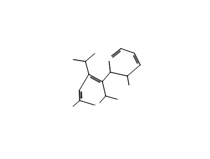 CC(I)C1=C(C2N=CC=CC2C)C(F)NC(F)=C1